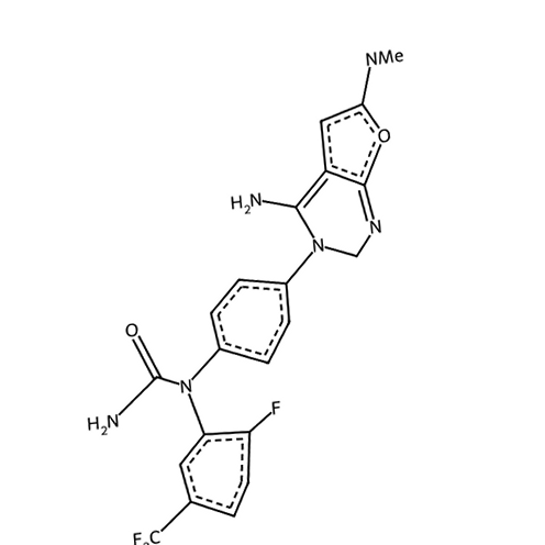 CNc1cc2c(o1)=NCN(c1ccc(N(C(N)=O)c3cc(C(F)(F)F)ccc3F)cc1)C=2N